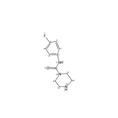 O=C(Nc1ccc(F)cc1)N1CCNCC1